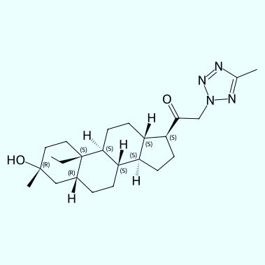 CC[C@]12CC[C@@](C)(O)C[C@H]1CC[C@H]1[C@@H]3CC[C@H](C(=O)Cn4nnc(C)n4)[C@H]3CC[C@@H]12